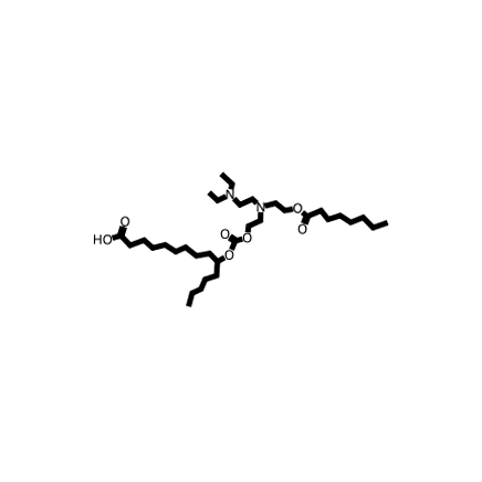 CCCCCCCC(=O)OCCN(CCOC(=O)OC(CCCCC)CCCCCCCCC(=O)O)CCN(CC)CC